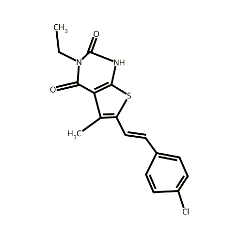 CCn1c(=O)[nH]c2sc(C=Cc3ccc(Cl)cc3)c(C)c2c1=O